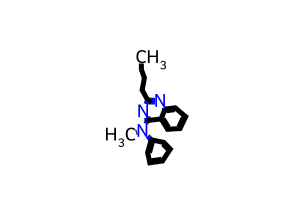 CCCCc1nc(N(C)c2ccccc2)c2ccccc2n1